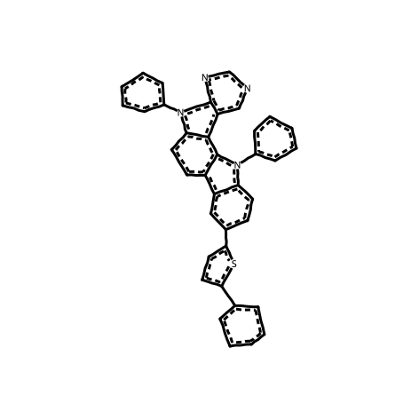 c1ccc(-c2ccc(-c3ccc4c(c3)c3ccc5c(c6cncnc6n5-c5ccccc5)c3n4-c3ccccc3)s2)cc1